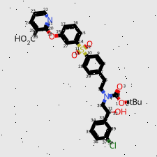 CC(C)(C)OC(=O)N(CCc1ccc(S(=O)(=O)c2cccc(Oc3ncccc3C(=O)O)c2)cc1)C[C@H](O)c1cccc(Cl)c1